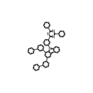 c1ccc(-c2cccc(-c3cc(-c4cccc(-c5ccccc5)c4)c4c(c3)c3ccccc3n4-c3cccc(-c4nc(-c5ccccc5)nc(-c5ccccc5)n4)c3)c2)cc1